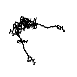 CCCCCCCCCCCCCC(=O)NCCCC[C@H](N)C(=O)N[C@@H](CSSC[C@H](NC(=O)[C@@H](N)CCCCNC(=O)CCCCCCCCCCCCC)C(C)=O)C(C)=O